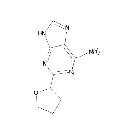 Nc1nc(C2CCCO2)nc2[nH]cnc12